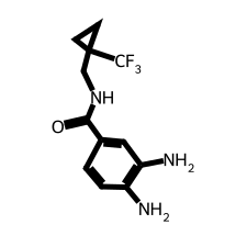 Nc1ccc(C(=O)NCC2(C(F)(F)F)CC2)cc1N